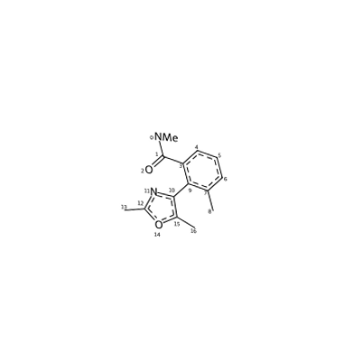 CNC(=O)c1cccc(C)c1-c1nc(C)oc1C